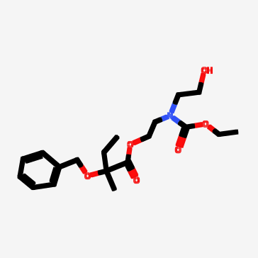 CCOC(=O)N(CCO)CCOC(=O)C(C)(CC)OCc1ccccc1